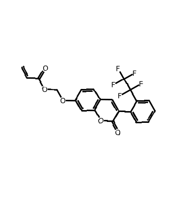 C=CC(=O)OCOc1ccc2cc(-c3ccccc3C(F)(F)C(F)(F)F)c(=O)oc2c1